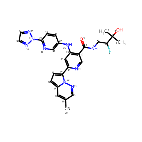 CC(C)(O)C(F)CNC(=O)c1cnc(-c2ccc3cc(C#N)cnn23)cc1Nc1ccc(-n2nccn2)nc1